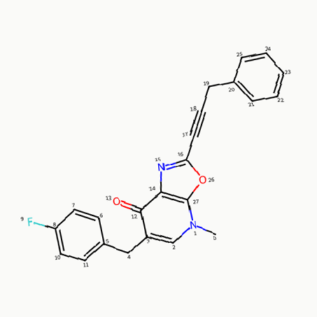 Cn1cc(Cc2ccc(F)cc2)c(=O)c2nc(C#CCc3ccccc3)oc21